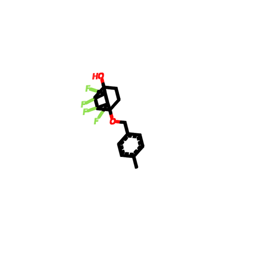 Cc1ccc(COC23CCC(O)(CC2)C(F)(F)C3(F)F)cc1